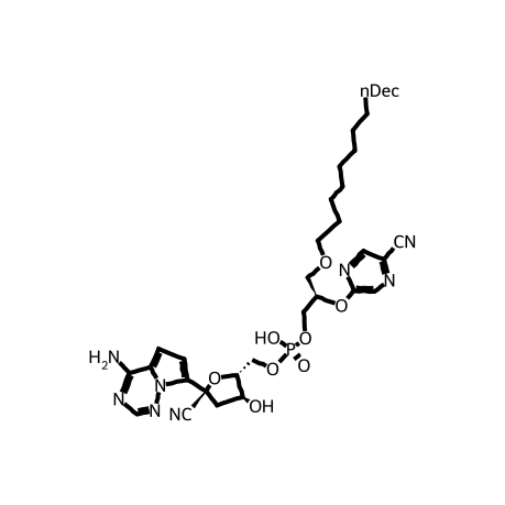 CCCCCCCCCCCCCCCCCCOC[C@H](COP(=O)(O)OC[C@H]1O[C@@](C#N)(c2ccc3c(N)ncnn23)C[C@@H]1O)Oc1cnc(C#N)cn1